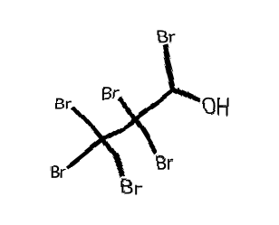 O[C](Br)C(Br)(Br)C(Br)(Br)Br